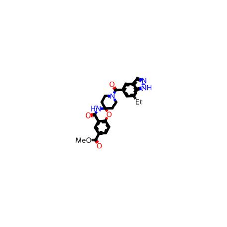 CCc1cc(C(=O)N2CCC3(CC2)NC(=O)c2cc(C(=O)OC)ccc2O3)cc2cn[nH]c12